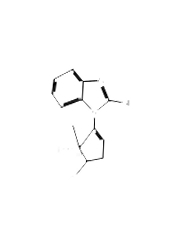 CC(C)C1CC=C(n2c(N)nc3ccccc32)[C@@]1(C)C(C)C